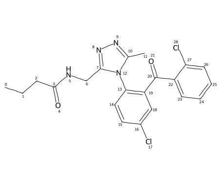 CCCC(=O)NCc1nnc(C)n1-c1ccc(Cl)cc1C(=O)c1ccccc1Cl